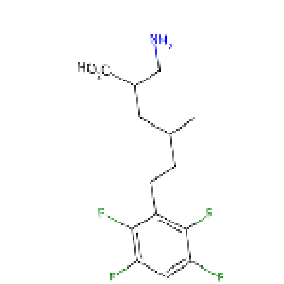 CC(CCc1c(F)c(F)cc(F)c1F)CC(CN)C(=O)O